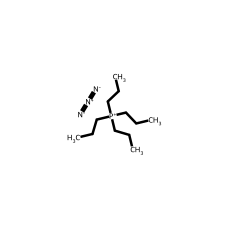 CCC[P+](CCC)(CCC)CCC.[N-]=[N+]=[N-]